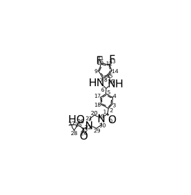 O=C(c1ccc(C2Nc3cc(F)c(F)cc3N2)cc1)N1CCN(C(=O)C2(O)CC2)CC1